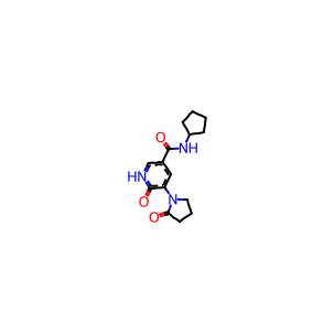 O=C(NC1CCCC1)c1c[nH]c(=O)c(N2CCCC2=O)c1